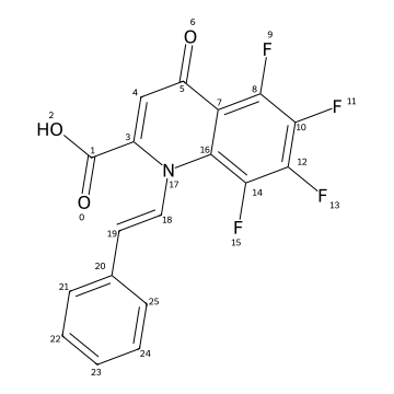 O=C(O)c1cc(=O)c2c(F)c(F)c(F)c(F)c2n1C=Cc1ccccc1